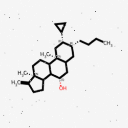 C=C1CCC2C3C(CC[C@]12C)[C@@]1(C)C[C@H](C2CC2)[C@H](CCCC)CC1C[C@@H]3O